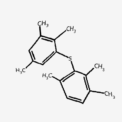 Cc1cc(C)c(C)c(Sc2c(C)ccc(C)c2C)c1